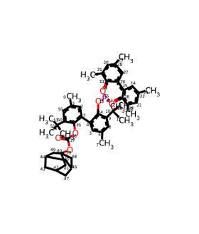 Cc1cc(-c2cc(C)cc(C(C)(C)C)c2Op2oc3c(C)cc(C)cc3c3cc(C)cc(C)c3o2)c(OC(=O)OC23CC4CC(CC(C4)C2)C3)c(C(C)(C)C)c1